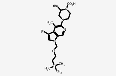 Cc1c(N2CCN(C(=O)O)C(C(C)(C)C)C2)ncc2c1c(Br)cn2COCC[Si](C)(C)C